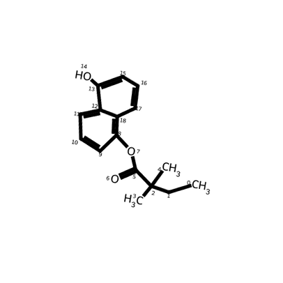 CCC(C)(C)C(=O)Oc1cccc2c(O)cccc12